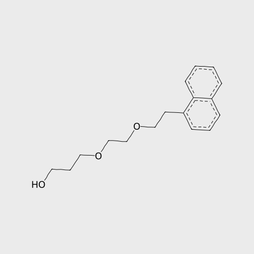 OCCCOCCOCCc1cccc2ccccc12